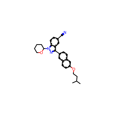 CC(C)CCOc1ccc2cc(-c3nn(C4CCCCO4)c4ccc(C#N)cc34)ccc2c1